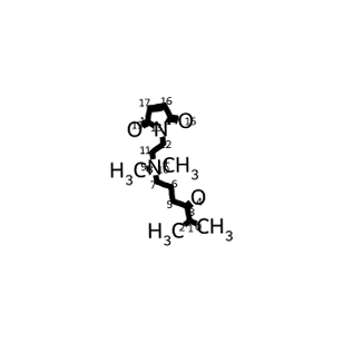 CC(C)C(=O)CCC[N+](C)(C)CCN1C(=O)C=CC1=O